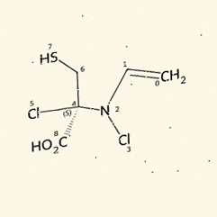 C=CN(Cl)[C@@](Cl)(CS)C(=O)O